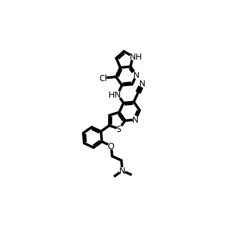 CN(C)CCOc1ccccc1-c1cc2c(Nc3cnc4[nH]ccc4c3Cl)c(C#N)cnc2s1